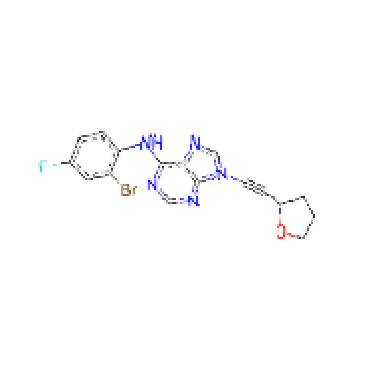 Fc1ccc(Nc2ncnc3c2ncn3C#CC2CCCO2)c(Br)c1